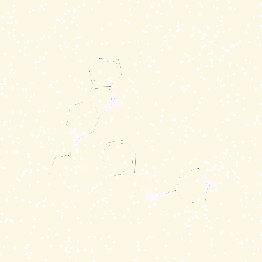 O=C(CCl)N1CCc2c([nH]c3ccccc23)[C@@H]1c1ccc(S(=O)(=O)NC2CCNCC2)cc1